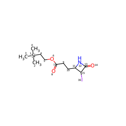 C[Si](C)(C)CCOC(=O)CCC1NC(=O)C1I